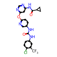 O=C(Nc1ccc(Oc2cc(NC(=O)C3CC3)ncn2)nc1)Nc1ccc(Cl)c(C(F)(F)F)c1